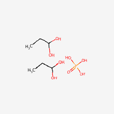 CCC(O)O.CCC(O)O.O=P(O)(O)O